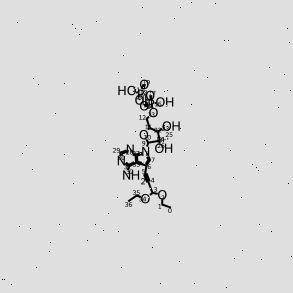 CCOC(C#Cc1cn(C2OC(COP(=O)(O)OP(=O)(O)O)C(O)[C@@]2(C)O)c2ncnc(N)c12)OCC